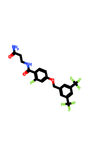 NC(=O)CCNC(=O)c1ccc(OCc2cc(C(F)(F)F)cc(C(F)(F)F)c2)cc1F